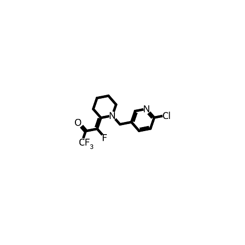 O=C(/C(F)=C1\CCCCN1Cc1ccc(Cl)nc1)C(F)(F)F